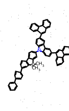 C[Si]1(C)c2cc(-c3ccc(-c4ccccc4)cc3)ccc2-c2ccc(-n3c4ccc(-c5cc6ccccc6c6ccccc56)cc4c4cc(-c5cc6ccccc6c6ccccc56)ccc43)cc21